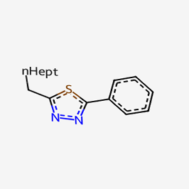 CCCCCCCCc1nnc(-c2ccccc2)s1